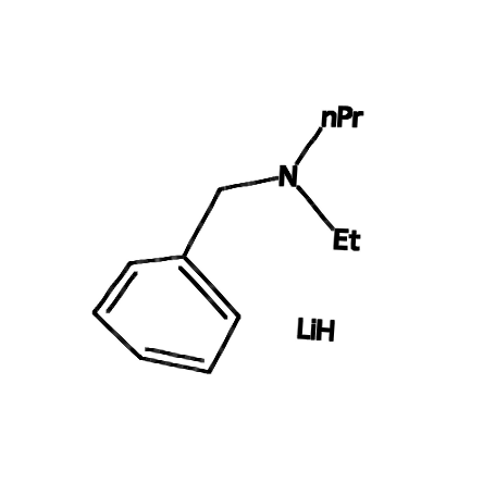 [CH2]CCN(CC)Cc1ccccc1.[LiH]